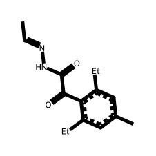 CC=NNC(=O)C(=O)c1c(CC)cc(C)cc1CC